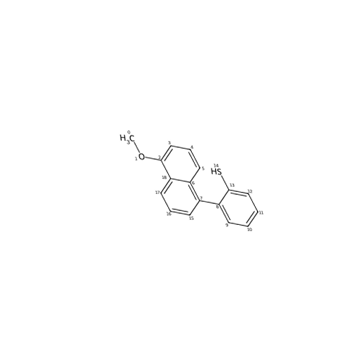 COc1cccc2c(-c3ccccc3S)cccc12